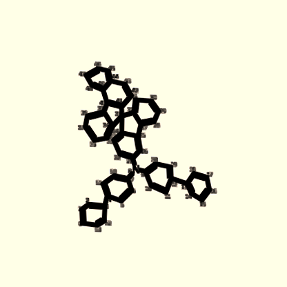 c1ccc(-c2ccc(N(c3ccc(-c4ccccc4)cc3)c3ccc4c(c3)-c3ccccc3C43c4ccccc4-c4c3ccc3ccccc43)cc2)cc1